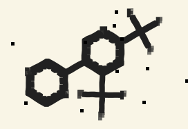 FC(F)(F)c1cc(C(F)(F)F)c(-c2cnccn2)cn1